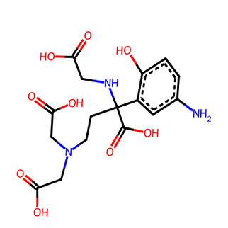 Nc1ccc(O)c(C(CCN(CC(=O)O)CC(=O)O)(NCC(=O)O)C(=O)O)c1